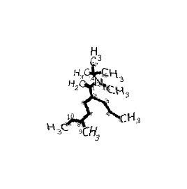 C=C(C(CCC)CCC(C)CC)N(C)C(C)(C)C